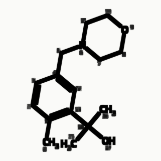 Cc1ccc(CN2CCOCC2)cc1C(C)(C)O